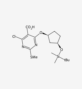 CSc1nc(Cl)c(C(=O)O)c(O[C@H]2CC[C@@H](O[Si](C)(C)C(C)(C)C)C2)n1